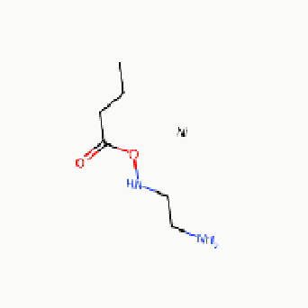 CCCC(=O)ONCCN.[Ni]